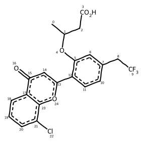 CC(CC(=O)O)Oc1cc(CC(F)(F)F)ccc1-c1cc(=O)c2cccc(Cl)c2o1